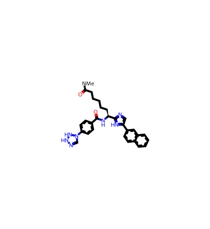 CNC(=O)CCCCC[C@H](NC(=O)c1ccc(N2C=NNN2)cc1)c1ncc(-c2ccc3ccccc3c2)[nH]1